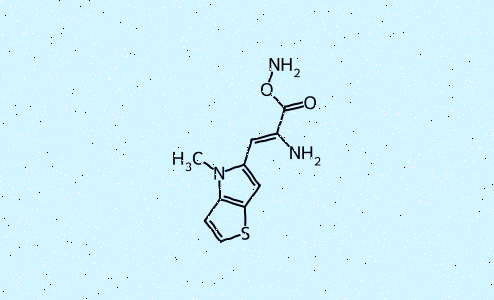 Cn1c(C=C(N)C(=O)ON)cc2sccc21